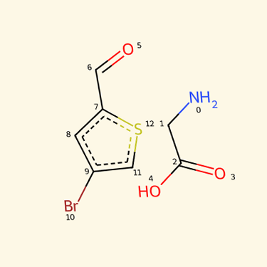 NCC(=O)O.O=Cc1cc(Br)cs1